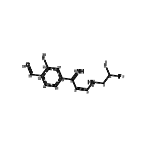 N=C(/C=C\NCC(F)F)c1ccc(C=O)c(F)c1